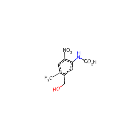 O=C(O)Nc1cc(CO)c(C(F)(F)F)cc1[N+](=O)[O-]